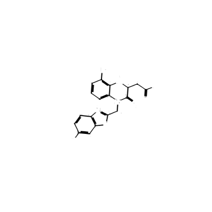 O=C(O)CC1Oc2c(F)cccc2N(Cc2nc3ccc(F)cc3s2)C1=O